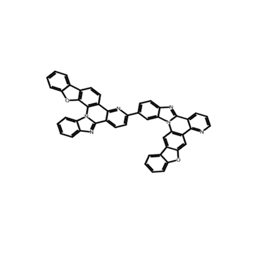 c1ccc2c(c1)nc1c3ccc(-c4ccc5nc6c7cccnc7c7cc8oc9ccccc9c8cc7n6c5c4)nc3c3ccc4c5ccccc5oc4c3n21